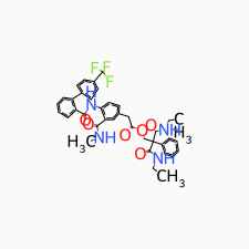 CCNC(=O)C(COC(=O)Cc1ccc(NC(=O)c2ccccc2-c2ccc(C(F)(F)F)cc2)c(C(=O)NC)c1)(C(=O)NCC)c1ccccc1